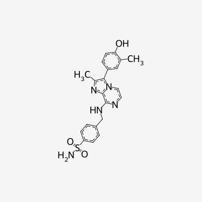 Cc1cc(-c2c(C)nc3c(NCc4ccc(S(N)(=O)=O)cc4)nccn23)ccc1O